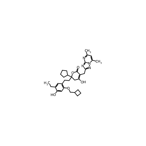 CCc1cc(CCC2(C3CCCC3)CC(O)=C(Cc3nc4nc(C)cc(C)n4n3)C(=O)O2)c(OCC2CCC2)cc1O